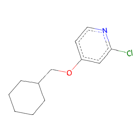 Clc1cc(OCC2CCCCC2)ccn1